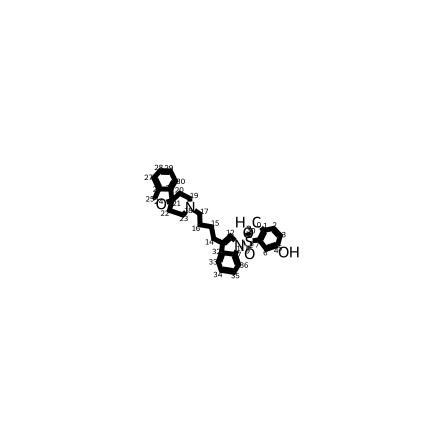 Cc1ccc(O)cc1S(=O)(=O)n1cc(CCCCN2CCC3(CC2)OCc2ccccc23)c2ccccc21